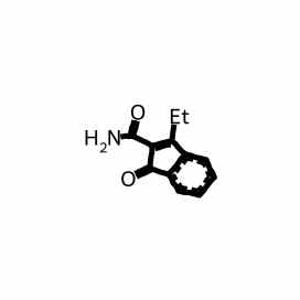 CCC1=C(C(N)=O)C(=O)c2ccccc21